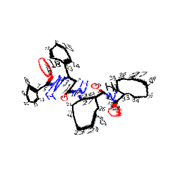 O=C(CC(NC(=O)c1ccccc1)c1ccccc1)N[C@@H]1CCCCCCC1C(=O)N1C(=O)C2CCCCCC[C@H]21